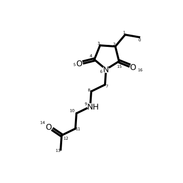 CCC1CC(=O)N(CCNCCC(C)=O)C1=O